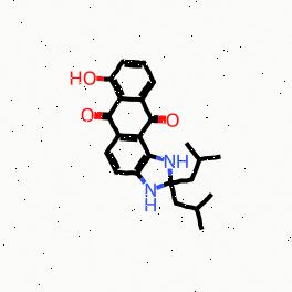 CC(C)CC1(CC(C)C)Nc2ccc3c(c2N1)C(=O)c1cccc(O)c1C3=O